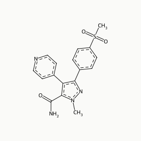 Cn1nc(-c2ccc(S(C)(=O)=O)cc2)c(-c2ccncc2)c1C(N)=O